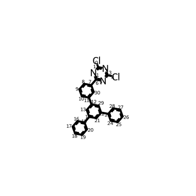 Clc1nc(Cl)nc(-c2cccc(-c3cc(-c4ccccc4)cc(-c4ccccc4)c3)c2)n1